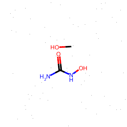 CO.NC(=O)NO